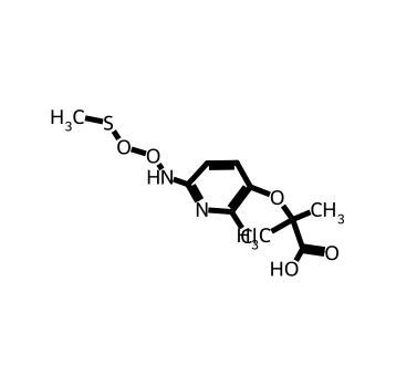 CSOONc1ccc(OC(C)(C)C(=O)O)c(Cl)n1